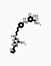 NC(=O)c1cc(SNc2ccc(CCCCNc3nc(N)n4nc(-c5ccco5)nc4n3)cc2)cc(Cl)c1O